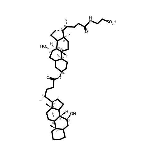 C[C@H](CCC(=O)O[C@@H]1CC[C@@]2(C)C(C1)C[C@H](O)[C@H]1C3CC[C@H]([C@H](C)CCC(=O)NCCS(=O)(=O)O)[C@@]3(C)CC[C@@H]12)[C@H]1CCC2[C@@H]3[C@@H](O)CC4CCCC[C@]4(C)[C@H]3CC[C@@]21C